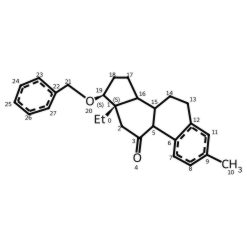 CC[C@]12CC(=O)C3c4ccc(C)cc4CCC3C1CC[C@@H]2OCc1ccccc1